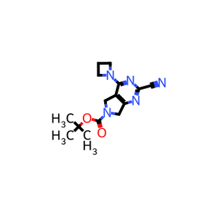 CC(C)(C)OC(=O)N1Cc2nc(C#N)nc(N3CCC3)c2C1